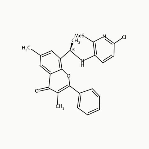 CSc1nc(Cl)ccc1N[C@H](C)c1cc(C)cc2c(=O)c(C)c(-c3ccccc3)oc12